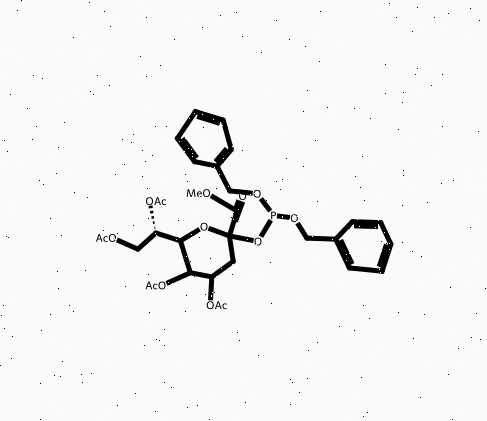 COC(=O)C1(OP(OCc2ccccc2)OCc2ccccc2)CC(OC(C)=O)C(OC(C)=O)C([C@H](COC(C)=O)OC(C)=O)O1